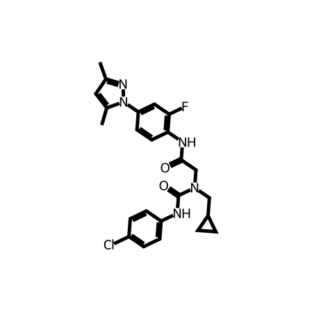 Cc1cc(C)n(-c2ccc(NC(=O)CN(CC3CC3)C(=O)Nc3ccc(Cl)cc3)c(F)c2)n1